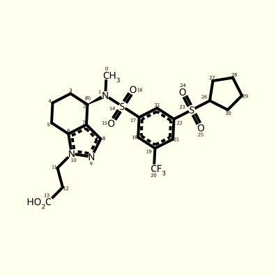 CN([C@@H]1CCCc2c1cnn2CCC(=O)O)S(=O)(=O)c1cc(C(F)(F)F)cc(S(=O)(=O)C2CCCC2)c1